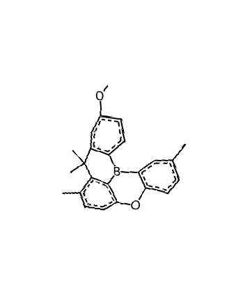 COc1ccc2c(c1)C(C)(C)c1c(C)ccc3c1B2c1cc(C)ccc1O3